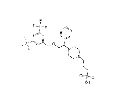 O=S(=O)(O)CCCN1CCN(C(COCc2cc(C(F)(F)F)cc(C(F)(F)F)c2)c2ccccc2)CC1